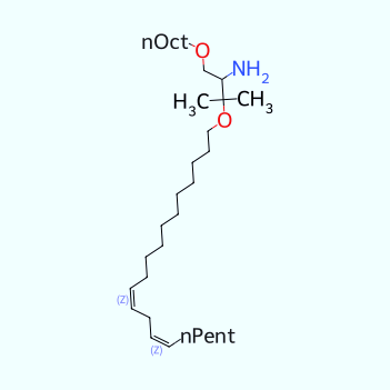 CCCCC/C=C\C/C=C\CCCCCCCCCCOC(C)(C)C(N)COCCCCCCCC